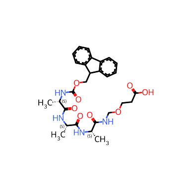 C[C@H](NC(=O)OCC1c2ccccc2-c2ccccc21)C(=O)N[C@@H](C)C(=O)N[C@@H](C)C(=O)NCOCCC(=O)O